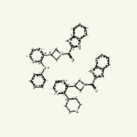 O=C(c1nc2ccccc2[nH]1)N1CC(c2nccnc2C2CCOCC2)C1.O=C(c1nc2ccccc2[nH]1)N1CC(c2nccnc2Oc2ccccc2)C1